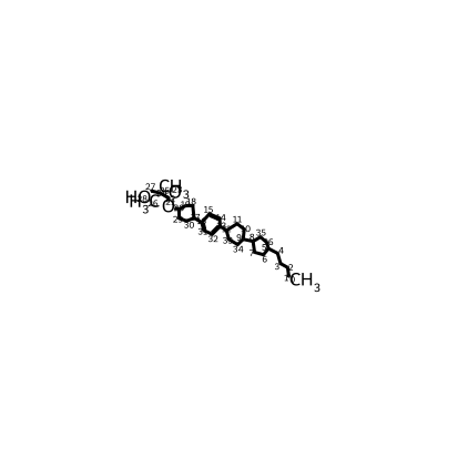 CCCCCC1CCC(C2CCC(c3ccc(C4CCC(OC(=O)C(C)(C)CO)CC4)cc3)CC2)CC1